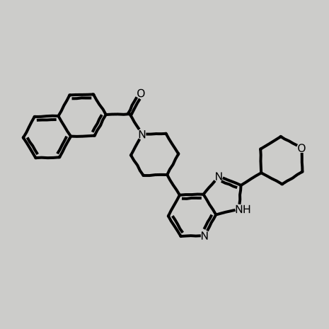 O=C(c1ccc2ccccc2c1)N1CCC(c2ccnc3[nH]c(C4CCOCC4)nc23)CC1